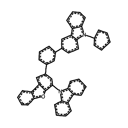 c1ccc(-n2c3ccccc3c3cc(-c4cccc(-c5cc(-n6c7ccccc7c7ccccc76)c6oc7ccccc7c6c5)c4)ccc32)cc1